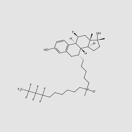 C[C@]12C[C@H](F)[C@@H]3c4ccc(O)cc4C[C@@H](CCCCC[N+](C)([O-])CCCCCCC(F)(F)C(F)(F)C(F)(F)C(F)(F)F)[C@H]3[C@@H]1CC[C@@]2(C)O